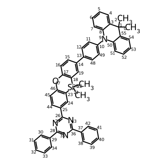 CC1(C)c2ccccc2N(c2ccc(-c3ccc4c(c3)[Si](C)(C)c3cc(-c5nc(-c6ccccc6)nc(-c6ccccc6)n5)ccc3O4)cc2)c2ccccc21